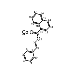 O=C(OC=Cc1ccccc1)c1cccc2ccccc12.[Co]